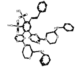 O=S(=O)(O)c1c(C=Cc2ccccc2)cc(-c2ncnc(N3CCOC(Nc4ccccc4)C3)n2)c(-c2ncnc(N3CCOC(Nc4ccccc4)C3)n2)c1S(=O)(=O)O